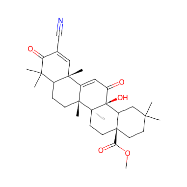 COC(=O)[C@]12CCC(C)(C)CC1[C@@]1(O)C(=O)C=C3[C@@]4(C)C=C(C#N)C(=O)C(C)(C)C4CC[C@@]3(C)[C@]1(C)CC2